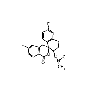 CN(C)CC1CCc2cc(F)ccc2C12Cc1cc(F)ccc1C(=O)O2